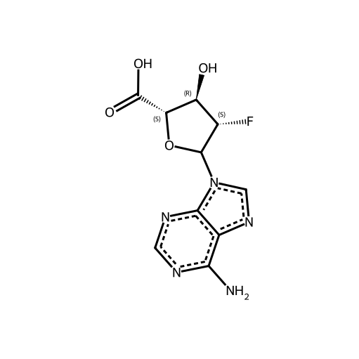 Nc1ncnc2c1ncn2C1O[C@H](C(=O)O)[C@@H](O)[C@@H]1F